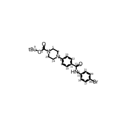 CC(C)(C)OC(=O)N1CCN(c2ccc(C(=O)Nc3ccc(Br)cc3)cc2)CC1